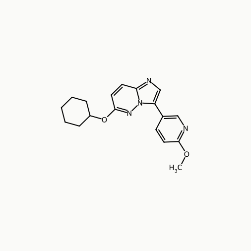 COc1ccc(-c2cnc3ccc(OC4CCCCC4)nn23)cn1